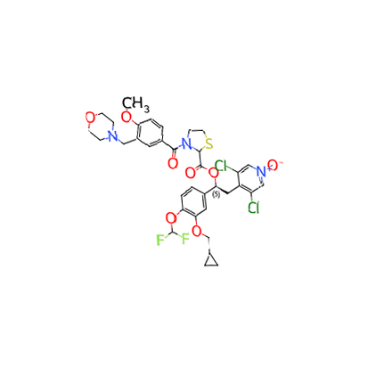 COc1ccc(C(=O)N2CCSC2C(=O)O[C@@H](Cc2c(Cl)c[n+]([O-])cc2Cl)c2ccc(OC(F)F)c(OCC3CC3)c2)cc1CN1CCOCC1